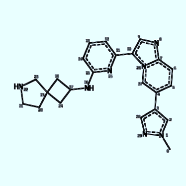 Cn1cc(-c2ccc3ncc(-c4cccc(NC5CC6(CCNC6)C5)n4)n3c2)cn1